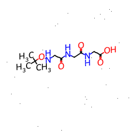 CC(C)(C)ONCC(=O)NCC(=O)NCC(=O)O